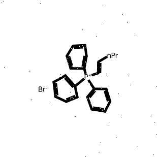 CCCC=C[P+](c1ccccc1)(c1ccccc1)c1ccccc1.[Br-]